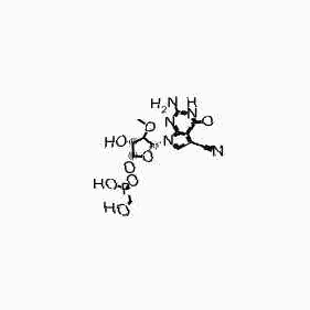 COC1[C@@H](O)[C@@H](OOP(O)CO)O[C@H]1n1cc(C#N)c2c(=O)[nH]c(N)nc21